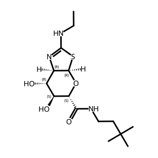 CCNC1=N[C@@H]2[C@@H](O)[C@H](O)[C@@H](C(=O)NCCC(C)(C)C)O[C@@H]2S1